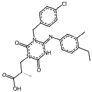 CCc1ccc(/N=c2\[nH]c(=O)n(C[C@H](C)C(=O)O)c(=O)n2Cc2ccc(Cl)cc2)cc1C